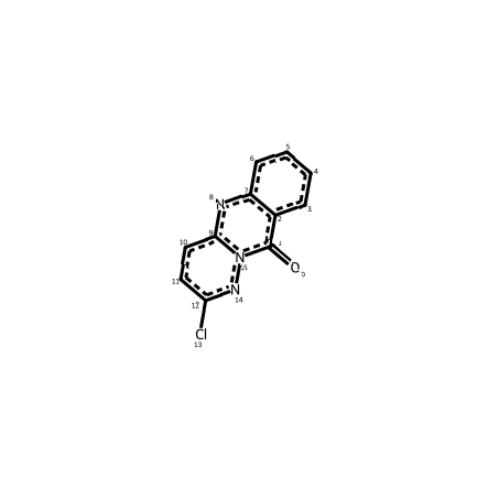 O=c1c2ccccc2nc2ccc(Cl)nn12